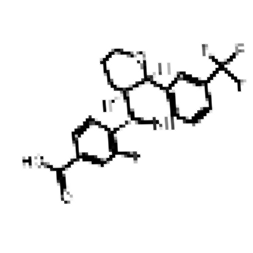 O=C(O)c1ccc([C@@H]2Nc3ccc(C(F)(F)F)cc3[C@@H]3OCCC[C@H]23)c(F)c1